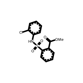 COC(=O)c1ccccc1S(=O)(=O)Nc1ccccc1Cl